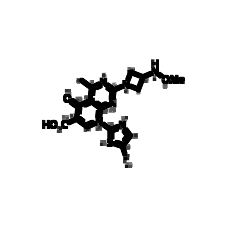 CONC1CN(c2nc(C)c3c(=O)c(C(=O)O)cn(-c4ncc(F)s4)c3n2)C1